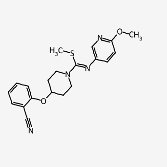 COc1ccc(N=C(SC)N2CCC(Oc3ccccc3C#N)CC2)cn1